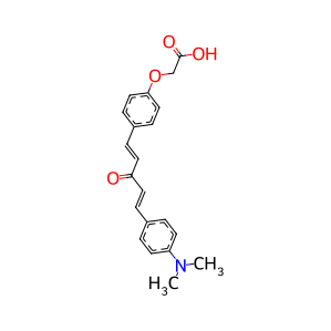 CN(C)c1ccc(C=CC(=O)C=Cc2ccc(OCC(=O)O)cc2)cc1